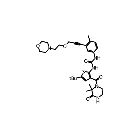 Cc1ccc(NC(=O)Nc2sc(C(C)(C)C)cc2C(=O)N2CCNC(=O)C2(C)C)cc1C#CCOCCN1CCOCC1